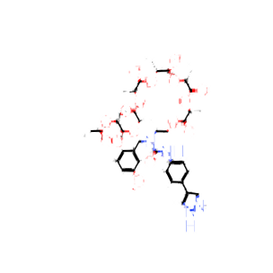 COc1cccc(CN(CCOC(=O)[C@H](C)OC(=O)[C@H](C)OC(=O)[C@H](C)OC(=O)[C@H](C)OC(=O)[C@H](C)OC(=O)[C@H](C)OC(C)=O)C(=O)Nc2ccc(-c3cn[nH]c3)cc2)c1